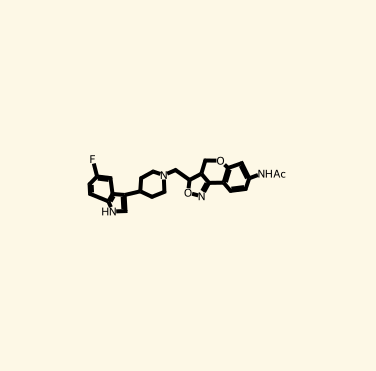 CC(=O)Nc1ccc2c(c1)OCC1C2=NOC1CN1CCC(c2c[nH]c3ccc(F)cc23)CC1